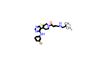 CC(C)CNC/C=C/C(=O)N1CCc2c(sc3ncnc(Nc4cccc(Br)c4)c23)C1